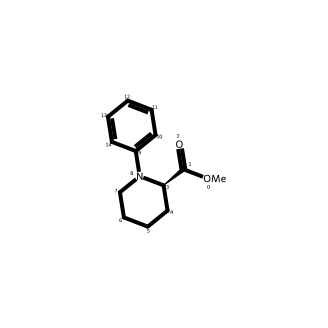 COC(=O)[C@H]1CCCCN1c1ccccc1